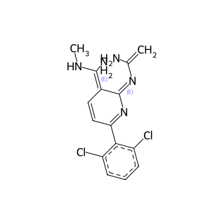 C=C(N)/N=C1/N=C(c2c(Cl)cccc2Cl)C=C/C1=C(/N)NC